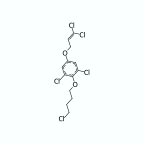 ClCCCCOc1c(Cl)cc(OCC=C(Cl)Cl)cc1Cl